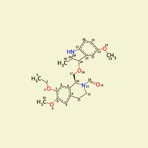 CCOc1cc2c(cc1OC)CCN(C=O)[C@@H]2COC1c2cc(OC)ccc2NC1C